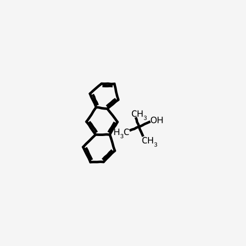 CC(C)(C)O.c1ccc2cc3ccccc3cc2c1